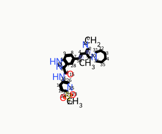 C=N/C=C(\C=C(/C)c1ccc2[nH]nc(C(=O)Nc3ccc(S(C)(=O)=O)nc3)c2c1)CN1CCCCCC1